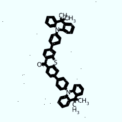 CC1(C)c2ccccc2N(c2ccc(-c3ccc4c(=O)c5ccc(-c6ccc(N7c8ccccc8C(C)(C)c8ccccc87)cc6)cc5sc4c3)cc2)c2ccccc21